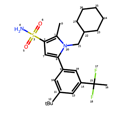 Cc1c(S(N)(=O)=O)cc(-c2cc(C(C)(C)C)cc(C(C)(F)F)c2)n1CC1CCCCC1